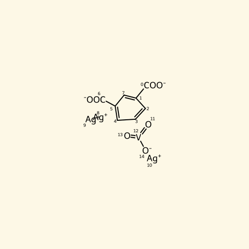 O=C([O-])c1cccc(C(=O)[O-])c1.[Ag+].[Ag+].[Ag+].[O]=[V](=[O])[O-]